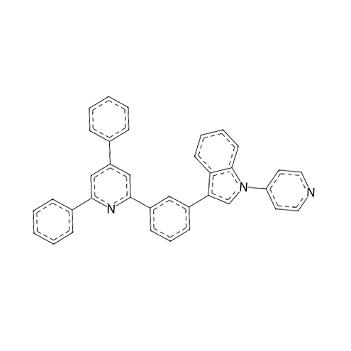 c1ccc(-c2cc(-c3ccccc3)nc(-c3cccc(-c4cn(-c5ccncc5)c5ccccc45)c3)c2)cc1